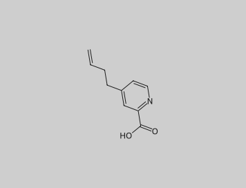 C=CCCc1ccnc(C(=O)O)c1